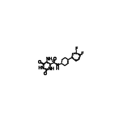 Nc1c(C(=O)NC2CC=C(c3ccc(F)c(F)c3)CC2)[nH]c(=O)[nH]c1=O